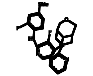 CSc1ccc(Nc2ncnc(OC3C4COCC3CN(c3ncccn3)C4)c2F)c(F)c1